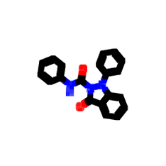 O=C(Nc1ccccc1)n1c(=O)c2ccccc2n1-c1ccccc1